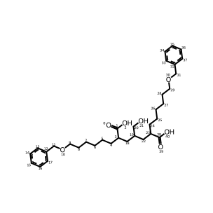 O=C(O)C(CCCCCCOCc1ccccc1)CC(CO)CC(CCCCCCOCc1ccccc1)C(=O)O